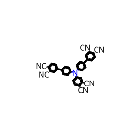 N#Cc1ccc(-c2ccc(N(c3ccc(-c4ccc(C#N)c(C#N)c4)cc3)c3ccc(C#N)c(C#N)c3)cc2)cc1C#N